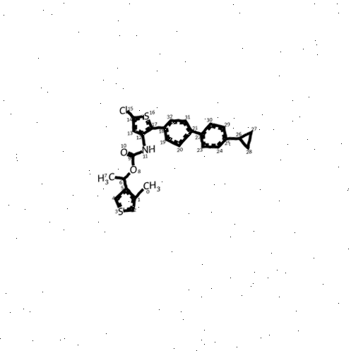 Cc1cscc1C(C)OC(=O)Nc1cc(Cl)sc1-c1ccc(-c2ccc(C3CC3)cc2)cc1